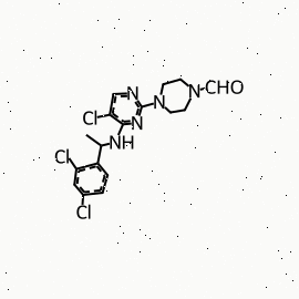 CC(Nc1nc(N2CCN(C=O)CC2)ncc1Cl)c1ccc(Cl)cc1Cl